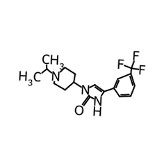 CC(C)N1CCC(n2cc(-c3cccc(C(F)(F)F)c3)[nH]c2=O)CC1